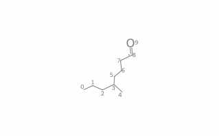 CCCC(C)CCC[C]=O